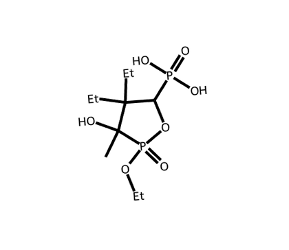 CCOP1(=O)OC(P(=O)(O)O)C(CC)(CC)C1(C)O